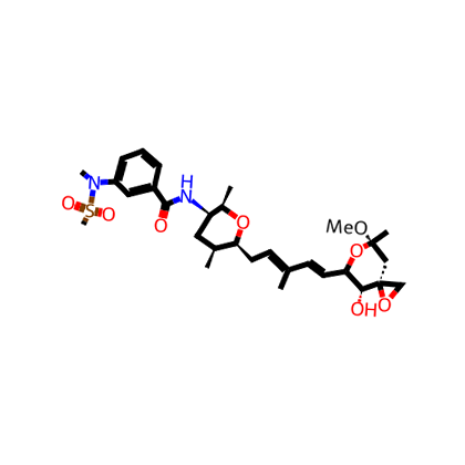 CO[C@]1(C)C[C@@]2(CO2)[C@H](O)C(/C=C/C(C)=C/C[C@@H]2O[C@H](C)[C@H](NC(=O)c3cccc(N(C)S(C)(=O)=O)c3)C[C@@H]2C)O1